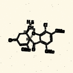 COC1=CC(=O)C[C@@H](C)[C@]12Oc1c(Cl)c(OC)cc(OC)c1C2=O.S